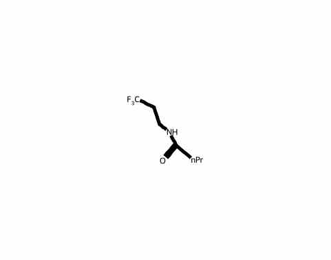 CCCC(=O)NCCC(F)(F)F